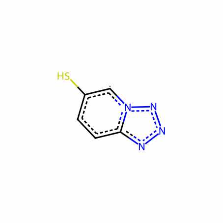 Sc1[c]n2nnnc2cc1